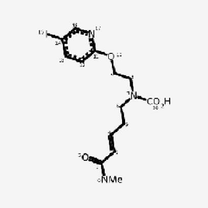 CNC(=O)C=CCCN(CCOc1ccc(I)cn1)C(=O)O